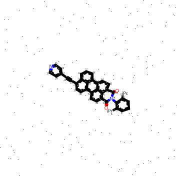 CC(C)c1cccc(C(C)C)c1N1C(=O)c2ccc3c4cccc5c(C#Cc6ccncc6)ccc(c6ccc(c2c36)C1=O)c54